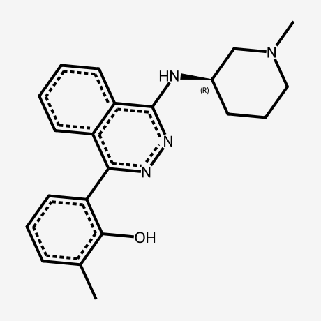 Cc1cccc(-c2nnc(N[C@@H]3CCCN(C)C3)c3ccccc23)c1O